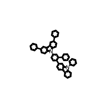 c1ccc(-c2ccc3c(c2)c2cc(-c4ccccc4)ccc2n3-c2ccc(-c3ccc4c5ccccc5n(-c5ccccc5)c4c3)c(-c3ccccc3)c2)cc1